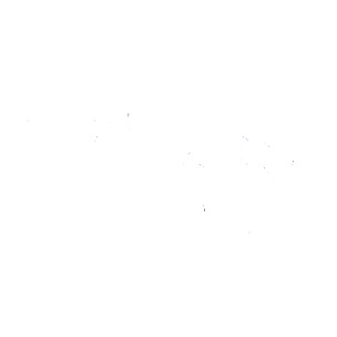 CC(=O)OCC1O[C@@H](n2cc(CN3C[C@@H](C)C[C@H]4O[C@]5(CC[C@@H]6C(=C5C)C[C@H]5[C@H]6CC=C6C[C@@H](O)CC[C@@]65C)[C@H](C)[C@@H]43)nn2)[C@@H](OC(C)=O)C(C)[C@@H]1C